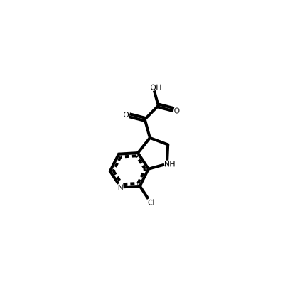 O=C(O)C(=O)C1CNc2c1ccnc2Cl